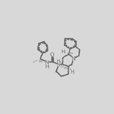 C[C@@H](NC(=O)N1CCC[C@@H]2CN3CCc4ccccc4[C@@H]3C[C@@H]21)c1ccccc1